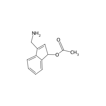 CC(=O)OC1C=C(CN)c2ccccc21